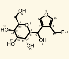 OC[C@H]1O[C@@H](C(O)c2cocc2CF)[C@H](O)[C@@H](O)[C@H]1O